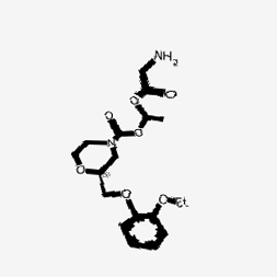 CCOc1ccccc1OC[C@@H]1CN(C(=O)OC(C)OC(=O)CN)CCO1